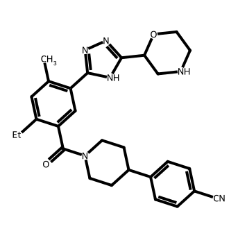 CCc1cc(C)c(-c2nnc(C3CNCCO3)[nH]2)cc1C(=O)N1CCC(c2ccc(C#N)cc2)CC1